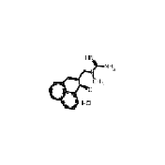 CN(CC1=Cc2cccc3cccc(c23)C1=O)C(=N)N.Cl